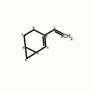 C=CC1=CC2CC2CC1